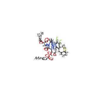 COC(=O)OCOc1c2n(c(-c3cc(F)c(F)c4c3Cc3ccccc3SC4)cc1=O)N[C@@H]1COC(OC3CC3)CN1C2=O